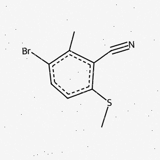 CSc1ccc(Br)c(C)c1C#N